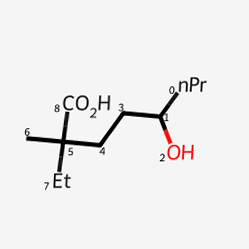 CCCC(O)CCC(C)(CC)C(=O)O